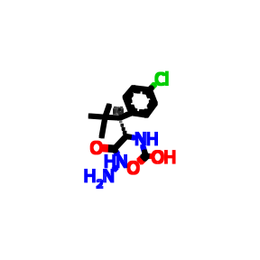 CC(C)(C)[C@H](c1ccc(Cl)cc1)C(NC(=O)O)C(=O)NN